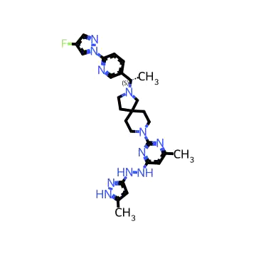 Cc1cc(NNc2cc(C)[nH]n2)nc(N2CCC3(CC2)CCN([C@@H](C)c2ccc(-n4cc(F)cn4)nc2)C3)n1